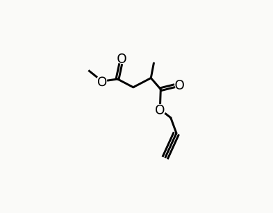 C#CCOC(=O)C(C)CC(=O)OC